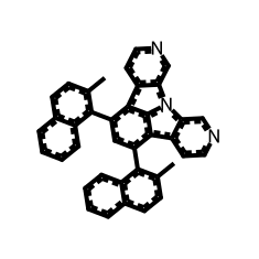 Cc1ccc2ccccc2c1-c1cc(-c2c(C)ccc3ccccc23)c2c3ccncc3n3c4cnccc4c1c23